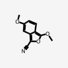 COc1ccc2c(OC)oc(C#N)c2c1